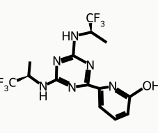 C[C@@H](Nc1nc(N[C@H](C)C(F)(F)F)nc(-c2cccc(O)n2)n1)C(F)(F)F